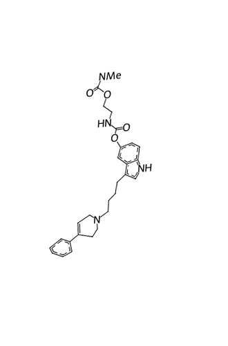 CNC(=O)OCCNC(=O)Oc1ccc2[nH]cc(CCCCN3CC=C(c4ccccc4)CC3)c2c1